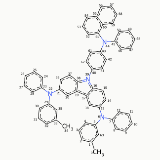 Cc1cccc(N(c2ccccc2)c2ccc3c(c2)c2cc(N(c4ccccc4)c4cccc(C)c4)ccc2n3-c2ccc(N(c3ccccc3)c3cccc4ccccc34)cc2)c1